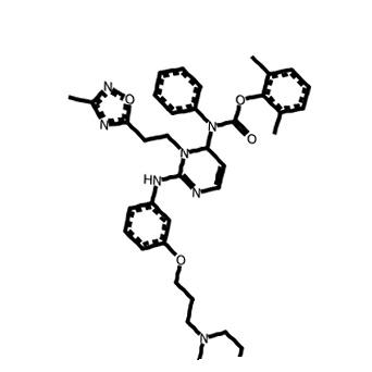 Cc1noc(CCN2C(Nc3cccc(OCCCN4CCCCC4)c3)=NC=CC2N(C(=O)Oc2c(C)cccc2C)c2ccccc2)n1